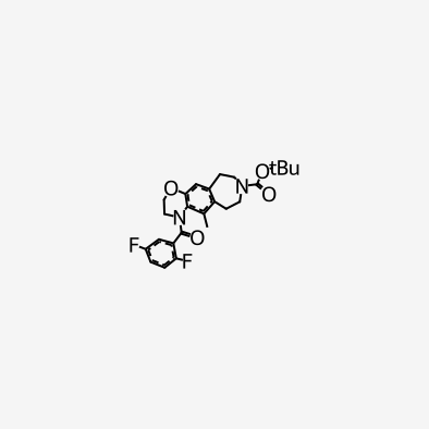 Cc1c2c(cc3c1N(C(=O)c1cc(F)ccc1F)CCO3)CCN(C(=O)OC(C)(C)C)CC2